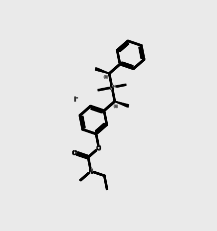 CCN(C)C(=O)Oc1cccc([C@H](C)[N+](C)(C)[C@@H](C)c2ccccc2)c1.[I-]